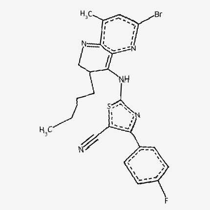 CCCCC1CN=c2c(C)cc(Br)nc2=C1Nc1nc(-c2ccc(F)cc2)c(C#N)s1